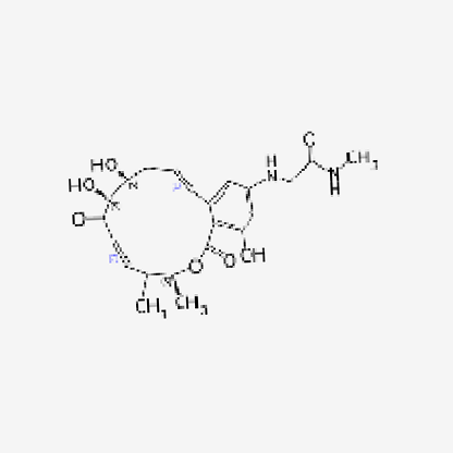 CNC(=O)CNc1cc(O)c2c(c1)/C=C/C[C@H](O)[C@H](O)C(=O)/C=C\C(C)[C@H](C)OC2=O